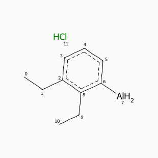 CCc1ccc[c]([AlH2])c1CC.Cl